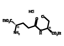 CCOC(=O)[C@H](CCl)NC(=O)CC[C@H](N)C(=O)OCC.Cl